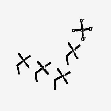 CC[N+](C)(C)C.CC[N+](C)(C)C.CC[N+](C)(C)C.CC[N+](C)(C)C.[O-][Si]([O-])([O-])[O-]